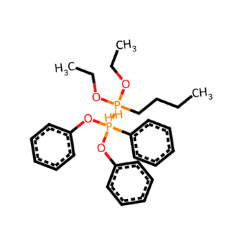 CCCC[PH](OCC)(OCC)[PH](Oc1ccccc1)(Oc1ccccc1)c1ccccc1